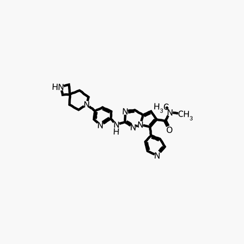 CN(C)C(=O)c1cc2cnc(Nc3ccc(N4CCC5(CC4)CNC5)cn3)nn2c1-c1ccncc1